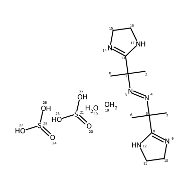 CC(C)(N=NC(C)(C)C1=NCCN1)C1=NCCN1.O.O.O=S(O)O.O=S(O)O